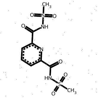 CS(=O)(=O)NC(=O)c1cccc(C(=O)NS(C)(=O)=O)n1